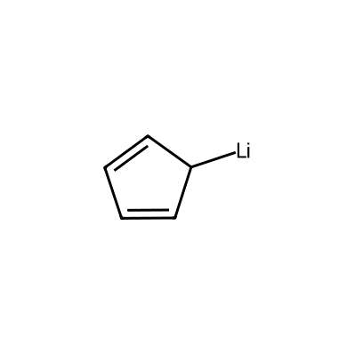 [Li][CH]1C=CC=C1